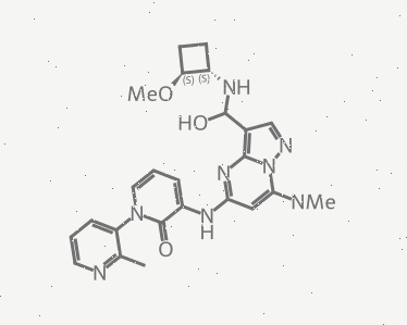 CNc1cc(Nc2cccn(-c3cccnc3C)c2=O)nc2c(C(O)N[C@H]3CC[C@@H]3OC)cnn12